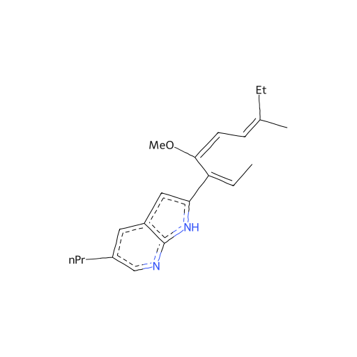 C\C=C(/C(=C\C=C(\C)CC)OC)c1cc2cc(CCC)cnc2[nH]1